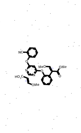 CO/C=C(/C(=O)OC)c1ccccc1Oc1cc(Oc2ccccc2C#N)ncn1.CO/C=C/C(=O)O